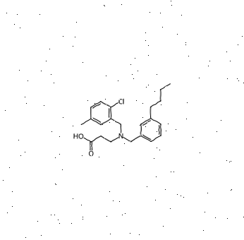 CCCCc1cccc(CN(CCC(=O)O)Cc2cc(C)ccc2Cl)c1